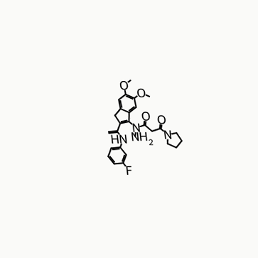 C=C(Nc1cccc(F)c1)C1=C(N(N)C(=O)CC(=O)N2CCCC2)c2cc(OC)c(OC)cc2C1